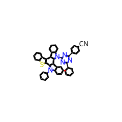 N#Cc1ccc(-c2nc(-c3ccccc3)nc(-n3c4ccccc4c4c5c6ccccc6sc5c5c(c6ccccc6n5-c5ccccc5)c43)n2)cc1